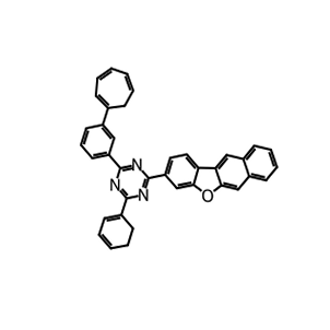 C1=CC=C(c2cccc(-c3nc(C4=CC=CCC4)nc(-c4ccc5c(c4)oc4cc6ccccc6cc45)n3)c2)CC=C1